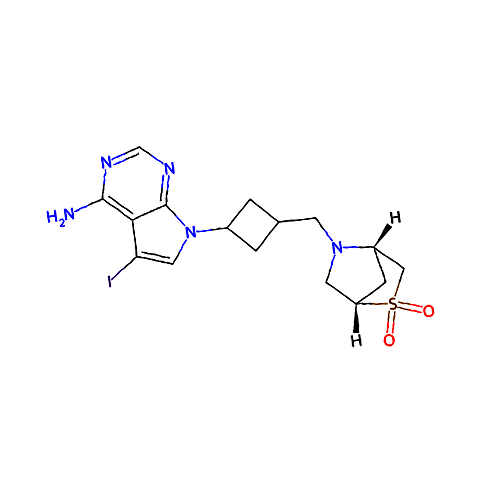 Nc1ncnc2c1c(I)cn2C1CC(CN2C[C@@H]3C[C@H]2CS3(=O)=O)C1